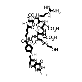 N=C(N)NCCC[C@@H](NC(=O)[C@@H](CC(=O)O)NC(=O)CCCNC(=O)c1ccc(NCc2cnc3nc(N)[nH]c(=O)c3n2)cc1)C(=O)N[C@H](CC(=O)O)C(=O)N[C@H](CC(=O)O)C(=O)N[C@H](CSSCCO)C(=O)O